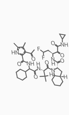 CC(=O)c1c(C(=O)NC(C(=O)N[C@H](C(=O)N2[C@H](C(=O)N[C@@H](CC(F)F)C(=O)C(=O)NC3CC3)C[C@@H]3CCCC[C@@H]32)C(C)(C)C)C2CCCCC2)[nH]c(C)c1C